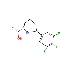 C[C@@H](O)[C@H]1CCC[C@@H](c2cc(F)c(F)c(F)c2)N1